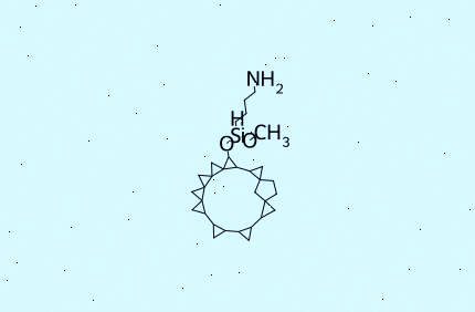 CO[SiH](CCCCN)OC1C2C3CC34CCC3(CC3C3CC3C3CC3C3CC35CC53CC35CC125)C4